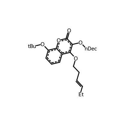 CC/C=C/CCOc1c(OCCCCCCCCCC)c(=O)oc2c(OC(C)(C)C)cccc12